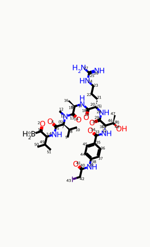 BC(=O)C(NC(=O)[C@H](C(C)C)N(C)C(=O)[C@@H](C)NC(=O)[C@H](CCCNC(=N)N)NC(=O)[C@@H](NC(=O)c1ccc(NC(=O)CI)cc1)[C@@H](C)O)C(C)C